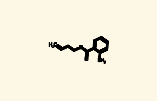 C=CCCOC(=O)c1ccccc1N